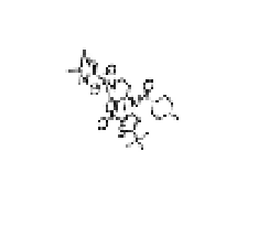 Cc1nc(S(=O)(=O)N2CCC(N(c3cc(C(C)(C)C)sc3C(=O)O)C(=O)[C@H]3CC[C@H](C)CC3)CC2)cn1C